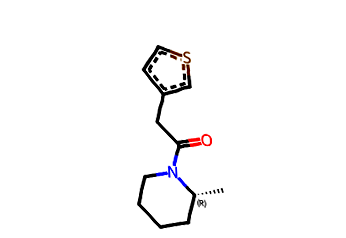 C[C@@H]1CCCCN1C(=O)Cc1ccsc1